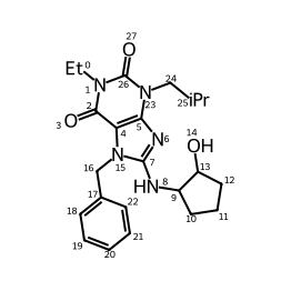 CCn1c(=O)c2c(nc(NC3CCCC3O)n2Cc2ccccc2)n(CC(C)C)c1=O